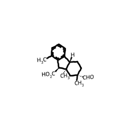 Cc1cccc2c1[C@H](C(=O)O)[C@]1(C)C[C@@](C)(C=O)CC[C@@H]21